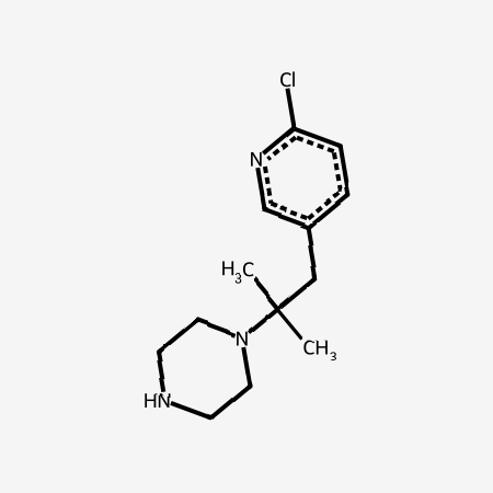 CC(C)(Cc1ccc(Cl)nc1)N1CCNCC1